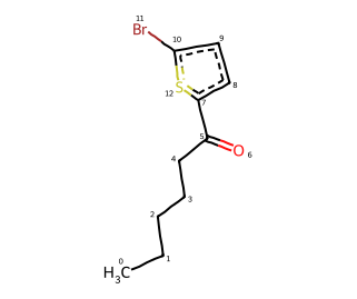 CCCCCC(=O)c1ccc(Br)s1